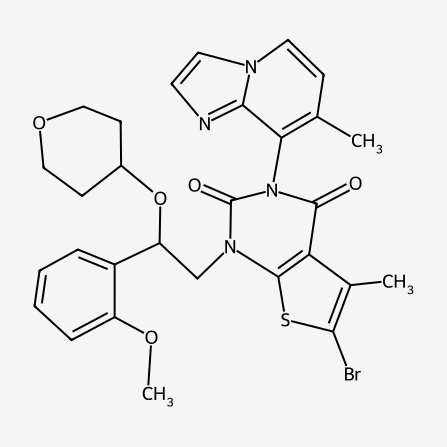 COc1ccccc1C(Cn1c(=O)n(-c2c(C)ccn3ccnc23)c(=O)c2c(C)c(Br)sc21)OC1CCOCC1